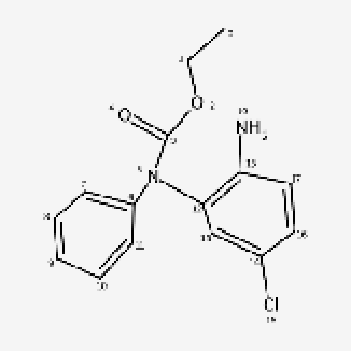 CCOC(=O)N(c1ccccc1)c1cc(Cl)ccc1N